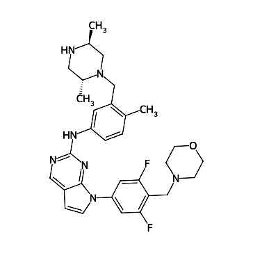 Cc1ccc(Nc2ncc3ccn(-c4cc(F)c(CN5CCOCC5)c(F)c4)c3n2)cc1CN1C[C@H](C)NC[C@H]1C